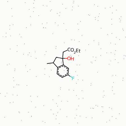 CCOC(=O)CC1(O)CC(C)c2ccc(F)cc21